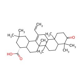 C=CC1=C2C3CC(C)(C)C[C@@H](C(=O)O)C3CCC2(C)C2(C)CCC3C(C)(C)C(=O)CCC3(C)C2C1